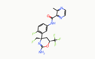 Cc1nccnc1C(=O)Nc1ccc(F)c([C@]2(CF)C[C@@H](C(F)(F)F)OC(N)=N2)c1